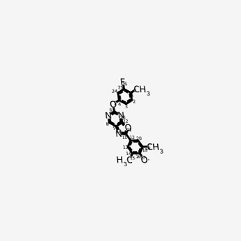 Cc1ccc(Oc2ncc3nc(-c4cc(C)c([O])c(C)c4)oc3n2)cc1F